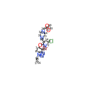 Clc1cnc(Oc2ccc3c(nnn3CC3CC3)c2Br)c(CN2CCN(CC3OCCO3)CC2)c1